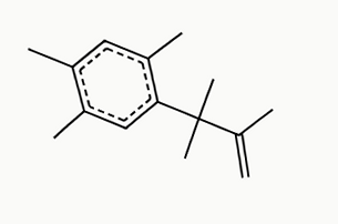 C=C(C)C(C)(C)c1cc(C)c(C)cc1C